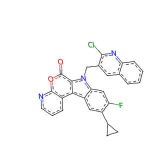 O=c1oc2ncccc2c2c3cc(C4CC4)c(F)cc3n(Cc3cc4ccccc4nc3Cl)c12